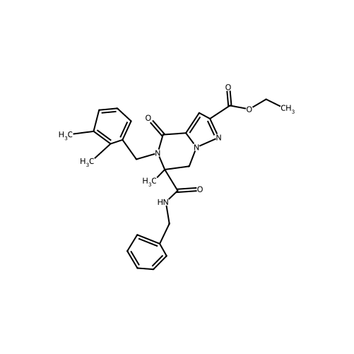 CCOC(=O)c1cc2n(n1)CC(C)(C(=O)NCc1ccccc1)N(Cc1cccc(C)c1C)C2=O